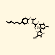 CC=CCCCc1ccc(OC(C)CC(=O)OC2CN(C)C[N+]2([O-])c2nnc(C(C)(C)C)s2)cc1